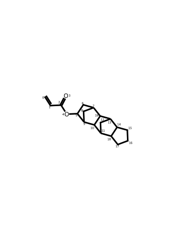 C=CC(=O)OC1CC2CC1C1C3CC(C4CCCC43)C21